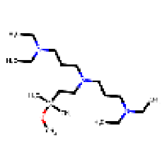 CCN(CC)CCCN(CCCN(CC)CC)CC[Si](C)(C)OC